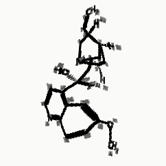 C=C[C@H]1CN2CC[C@H]1C[C@H]2[C@@](O)(F)c1ccnc2ccc(OC)cc12